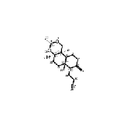 C=C1CCC2[C@]3(C)CO[C@@H](C)O[C@@H]3CC[C@@]2(C)[C@@H]1CCBr